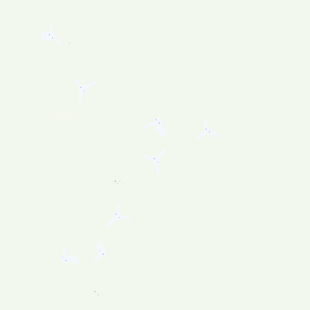 COc1cc(C(=O)N2CC(F)C[C@@H](NC(=O)O)C2)cc2nc(-c3cc4ccccc4n3CC3CC3)n(CC3CN(c4ccnc(C#N)n4)C3)c12